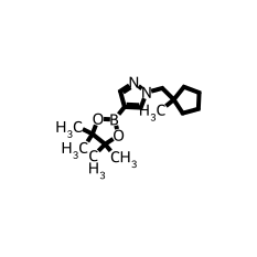 CC1(Cn2cc(B3OC(C)(C)C(C)(C)O3)cn2)CCCC1